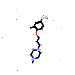 Cc1cc(C=O)ccc1OCCCN1CCN(C)CC1